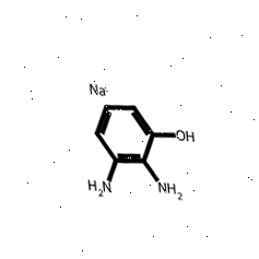 Nc1cccc(O)c1N.[Na]